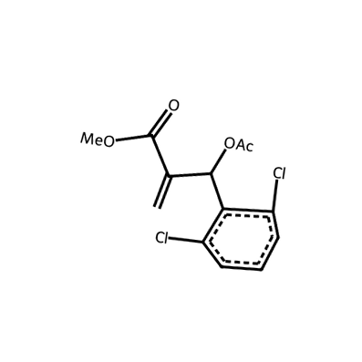 C=C(C(=O)OC)C(OC(C)=O)c1c(Cl)cccc1Cl